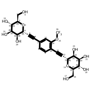 OC[C@H]1O[C@H](C#Cc2ccc(C#C[C@H]3O[C@H](CO)[C@@H](O)[C@H](O)[C@@H]3O)c(OC(F)(F)F)c2)[C@@H](O)[C@@H](O)[C@@H]1O